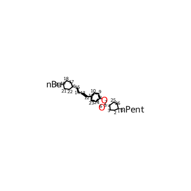 CCCCC[C@H]1CC[C@H](C(=O)Oc2ccc(C#C/C=C/[C@H]3CC[C@H](CCCC)CC3)cc2)CC1